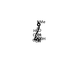 CNc1ccc(COC(=O)NCCNC(=O)c2cc(=O)c(O)c(C(=O)NO)o2)cc1